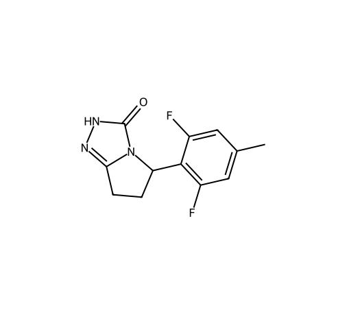 Cc1cc(F)c(C2CCc3n[nH]c(=O)n32)c(F)c1